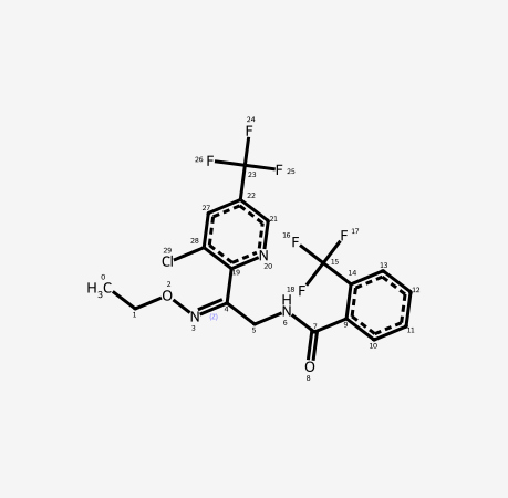 CCO/N=C(/CNC(=O)c1ccccc1C(F)(F)F)c1ncc(C(F)(F)F)cc1Cl